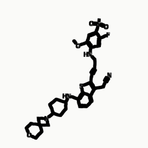 COc1cc(S(C)(=O)=O)c(F)cc1NCC#Cc1sc2c(NC3CCC(N4CC5(CCOCC5)C4)CC3)cccc2c1CC#N